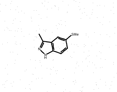 CSc1ccc2[nH]nc(C)c2c1